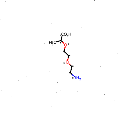 CC(OCCOCCN)C(=O)O